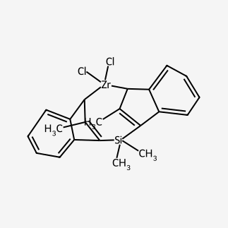 CC1=C2c3ccccc3[CH]1[Zr]([Cl])([Cl])[CH]1C(C)=C(c3ccccc31)[Si]2(C)C